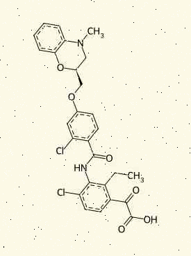 CCc1c(C(=O)C(=O)O)ccc(Cl)c1NC(=O)c1ccc(OC[C@@H]2CN(C)c3ccccc3O2)cc1Cl